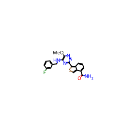 COc1nnc(-c2scc3c(C(N)=O)cccc23)nc1NCc1cccc(F)c1